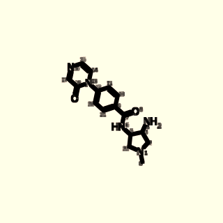 CN1CC(N)C(NC(=O)c2ccc(-n3ccncc3=O)cc2)C1